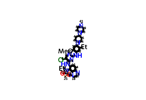 CCc1cc(Nc2ncc(Cl)c(Nc3ccc4nccnc4c3N(CC)S(C)(=O)=O)n2)c(OC)cc1N1CCC(N2CCN(C)CC2)CC1